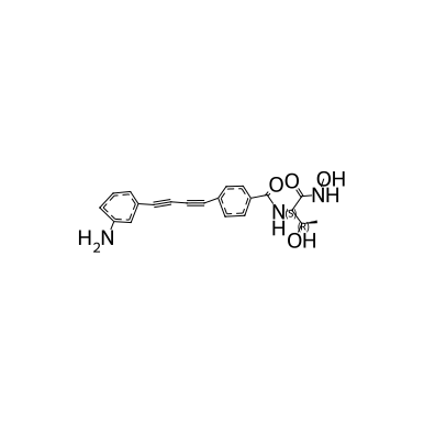 C[C@@H](O)[C@H](NC(=O)c1ccc(C#CC#Cc2cccc(N)c2)cc1)C(=O)NO